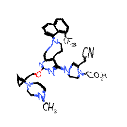 CN1CCN(C2(COc3nc4c(c(N5CCN(C(=O)O)C(CC#N)C5)n3)CCN(c3cccc5cccc(C(F)(F)F)c35)C4)CC2)CC1